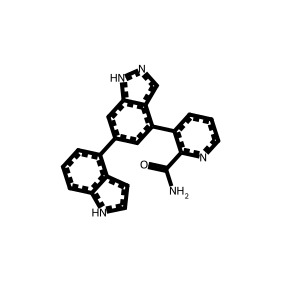 NC(=O)c1ncccc1-c1cc(-c2cccc3[nH]ccc23)cc2[nH]ncc12